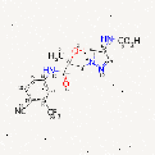 CC(O)(Cn1cc(NC(=O)O)cn1)C(=O)Nc1ccc(C#N)c(C(F)(F)F)c1